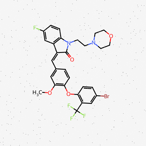 COc1cc(C=C2C(=O)N(CCN3CCOCC3)c3ccc(F)cc32)ccc1Oc1ccc(Br)cc1C(F)(F)F